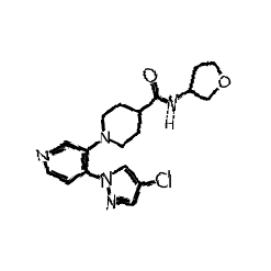 O=C(NC1CCOC1)C1CCN(c2cnccc2-n2cc(Cl)cn2)CC1